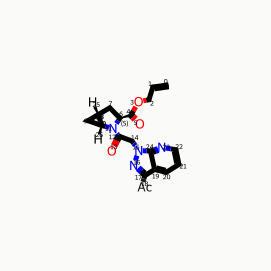 C=CCOC(=O)[C@@H]1C[C@H]2C[C@H]2N1C(=O)Cn1nc(C(C)=O)c2cccnc21